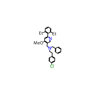 CCc1cccc(CC)c1-c1cc(OC)c(CN(CCc2ccc(Cl)cc2)Cc2ccccc2)cn1